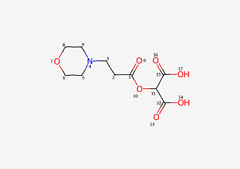 O=C(CCN1CCOCC1)OC(C(=O)O)C(=O)O